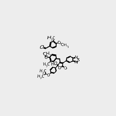 COc1ccc(C=O)cc1C.COc1ccc(CC2=C(c3ccc4nsnc4c3)C(=O)OC2(O)c2ccc(OC(C)C)cc2)cc1C